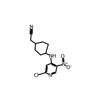 N#CCC1CCC(Nc2cc(Cl)ncc2[N+](=O)[O-])CC1